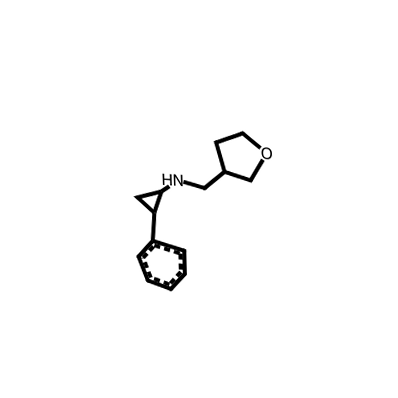 c1ccc(C2CC2NCC2CCOC2)cc1